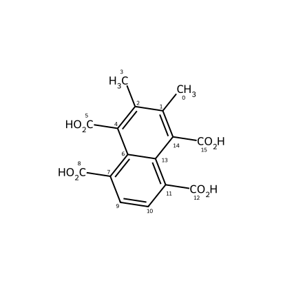 Cc1c(C)c(C(=O)O)c2c(C(=O)O)ccc(C(=O)O)c2c1C(=O)O